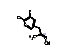 C/S(Cc1cnc(Cl)c(F)c1)=N\C#N